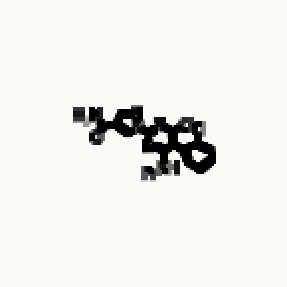 CC(C)Nc1nc(-n2cc(C(N)=O)cn2)nc(Cl)c1-c1ccccc1Cl